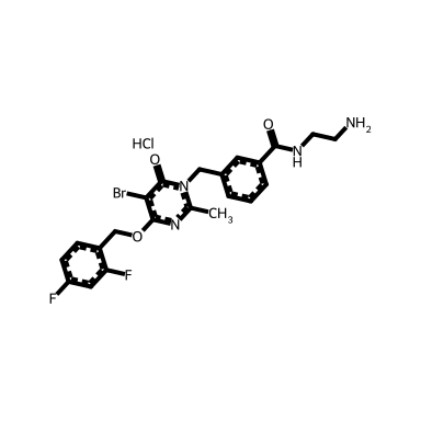 Cc1nc(OCc2ccc(F)cc2F)c(Br)c(=O)n1Cc1cccc(C(=O)NCCN)c1.Cl